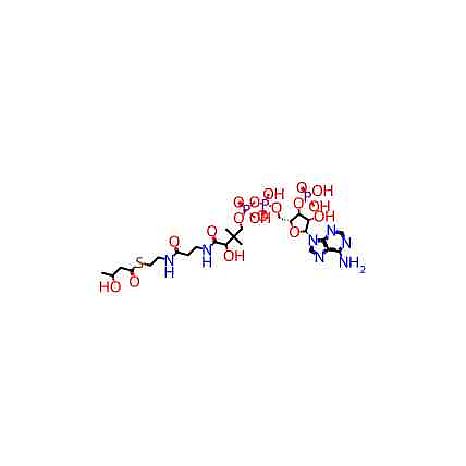 CC(O)CC(=O)SCCNC(=O)CCNC(=O)C(O)C(C)(C)COP(=O)(O)OP(=O)(O)OC[C@H]1O[C@@H](n2cnc3c(N)ncnc32)[C@H](O)[C@@H]1OP(=O)(O)O